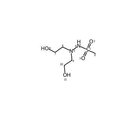 CS(=O)(=O)NN(CCO)CCO